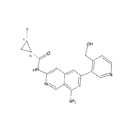 Nc1cc(-c2cnccc2CO)cc2cc(NC(=O)[C@@H]3C[C@@H]3F)ncc12